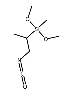 CO[Si](C)(OC)C(C)CN=C=O